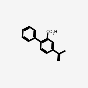 C=C(C)c1ccc(-c2ccccc2)c(C(=O)O)c1